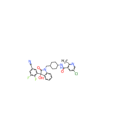 Cc1ncc(Cl)cc1C(=O)NC1CCC(CN2C(=O)C(O)(c3cc(C#N)cc(F)c3F)c3ccccc32)CC1